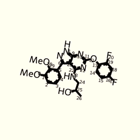 COc1cccc(-c2n[nH]c3nc(Oc4ccc(F)cc4F)nc(NCC(C)O)c23)c1OC